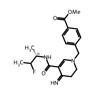 COC(=O)c1ccc(CN2C=C(C(=O)N[C@@H](C)C(C)F)C(=N)CC2)cc1